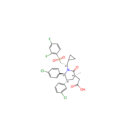 C[C@]1(CC(=O)O)C[C@H](c2cccc(Cl)c2)[C@@H](c2ccc(Cl)cc2)N([C@H](CS(=O)(=O)c2ccc(F)cc2F)C2CC2)C1=O